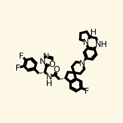 O=C(C[C@@H]1CC2(CCN(c3ccc4c(c3)N3CCC[C@H]3CN4)CC2)c2cc(F)ccc21)N[C@H](Cc1ccc(F)c(F)c1)c1nnco1